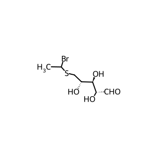 CC(Br)SC[C@@H](O)[C@@H](O)[C@@H](O)C=O